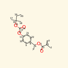 C=C(C)C(=O)OC(C)c1ccc(OC(=O)OC(C)(C)CC)cc1